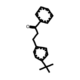 CC(C)(C)c1ccc(CCC(=O)c2ccccc2)cc1